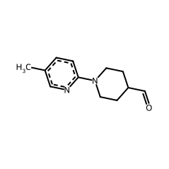 Cc1ccc(N2CCC(C=O)CC2)nc1